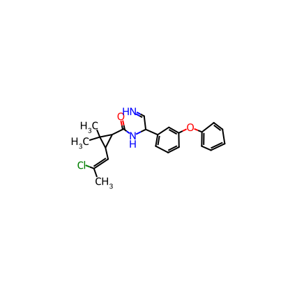 C/C(Cl)=C/C1C(C(=O)NC(C=N)c2cccc(Oc3ccccc3)c2)C1(C)C